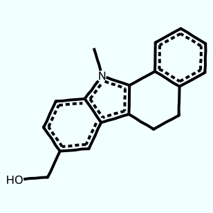 Cn1c2c(c3cc(CO)ccc31)CCc1ccccc1-2